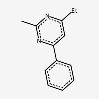 CCc1cc(-c2ccccc2)nc(C)n1